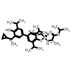 COCP(=O)(N[C@@H](C)C(=O)OC(C)C)Oc1c(C(C)C)cc(-c2cc(C(C)C)c(O)c([C@H](C)C3CC3)c2)cc1C(C)C